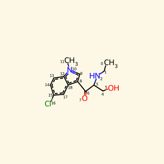 CCNC(CO)C(=O)c1cn(C)c2ccc(Cl)cc12